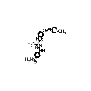 CN1CCN(CCOc2ccc3nc(-n4nc(Nc5ccc([S+](N)[O-])cc5)nc4N)sc3c2)CC1